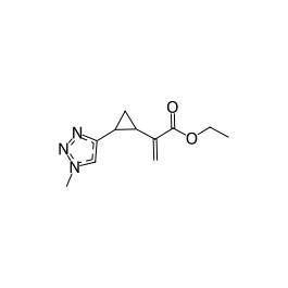 C=C(C(=O)OCC)C1CC1c1cn(C)nn1